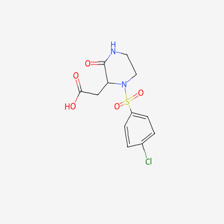 O=C(O)CC1C(=O)NCCN1S(=O)(=O)c1ccc(Cl)cc1